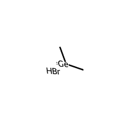 Br.[CH3][Ge][CH3]